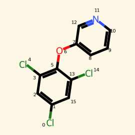 Clc1cc(Cl)c(Oc2cccnc2)c(Cl)c1